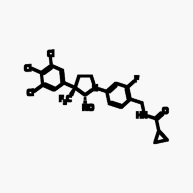 O=N[C@H]1N(c2ccc(CNC(=O)C3CC3)c(F)c2)CC[C@]1(c1cc(Cl)c(Cl)c(Cl)c1)C(F)(F)F